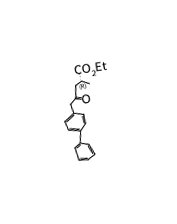 CCOC(=O)[C@H](C)CC(=O)Cc1ccc(-c2ccccc2)cc1